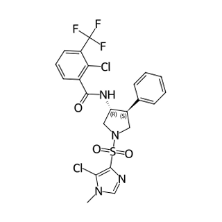 Cn1cnc(S(=O)(=O)N2C[C@H](NC(=O)c3cccc(C(F)(F)F)c3Cl)[C@@H](c3ccccc3)C2)c1Cl